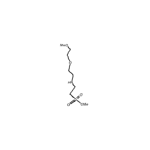 COCCOCCNCCS(=O)(=O)OC